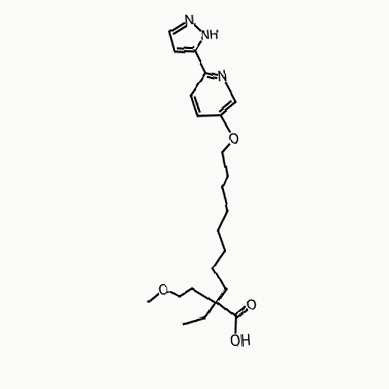 CCC(CCCCCCCCOc1ccc(-c2ccn[nH]2)nc1)(CCOC)C(=O)O